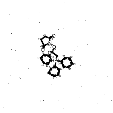 O=C(C[PH](c1ccccc1)(c1ccccc1)c1ccccc1)ON1C(=O)CCC1=O